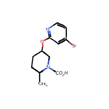 CC1CCC(Oc2cc(Br)ccn2)CN1C(=O)O